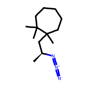 C[C@@H](CC1(C)CCCCCC1(C)C)N=[N+]=[N-]